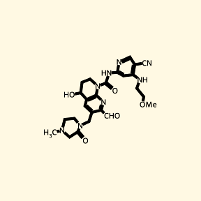 COCCNc1cc(NC(=O)N2CCC(O)c3cc(CN4CCN(C)CC4=O)c(C=O)nc32)ncc1C#N